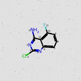 Nc1nc(Cl)nc2cccc(F)c12